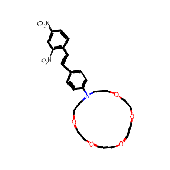 O=[N+]([O-])c1ccc(/C=C/c2ccc(N3CCOCCOCCOCCOCCOCC3)cc2)c([N+](=O)[O-])c1